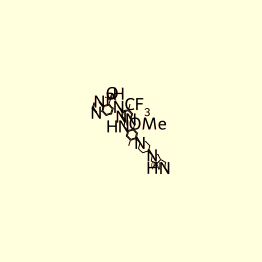 COc1cc(N2CCC(N3CC4CN(C)C[C@@H]4C3)CC2)c(C)cc1Nc1ncc(C(F)(F)F)c(Nc2ccc3nccnc3c2P(C)(C)=O)n1